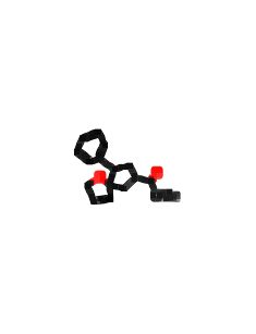 COC(=O)C1CC(c2ccccc2)C2(C=CCO2)C1